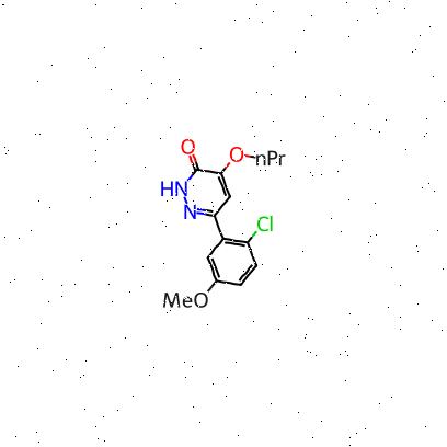 CCCOc1cc(-c2cc(OC)ccc2Cl)n[nH]c1=O